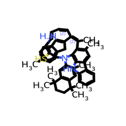 C\C1=C(C2=C(N)c3ccccc3C2)/C=C\C=C\c2cc(C)cc(c2S)N(c2cc3c(cc2C)C(C)(C)CCC3(C)C)c2c1c(C)cc1c2[nH]c2ccccc21